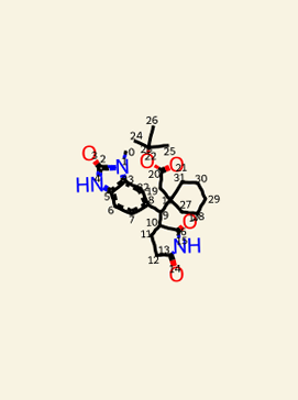 Cn1c(=O)[nH]c2ccc(C(C3CCC(=O)NC3=O)C3(CC(=O)OC(C)(C)C)CCCCC3)cc21